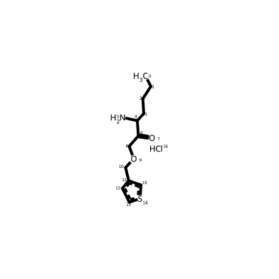 CCCCC(N)C(=O)COCc1ccsc1.Cl